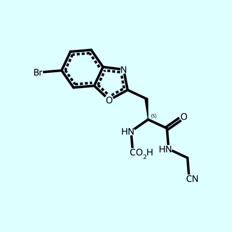 N#CCNC(=O)[C@H](Cc1nc2ccc(Br)cc2o1)NC(=O)O